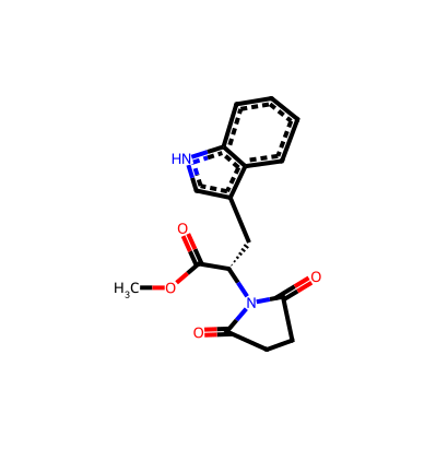 COC(=O)[C@H](Cc1c[nH]c2ccccc12)N1C(=O)CCC1=O